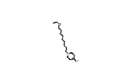 CC(C)N1CCN(CCCCCCCCCO[C@@H](C)I)CC1